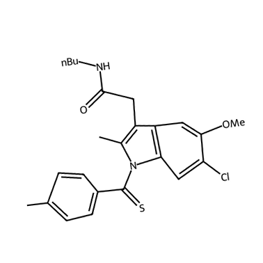 CCCCNC(=O)Cc1c(C)n(C(=S)c2ccc(C)cc2)c2cc(Cl)c(OC)cc12